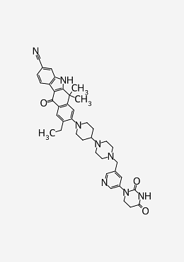 CCc1cc2c(cc1N1CCC(N3CCN(Cc4cncc(N5CCC(=O)NC5=O)c4)CC3)CC1)C(C)(C)c1[nH]c3cc(C#N)ccc3c1C2=O